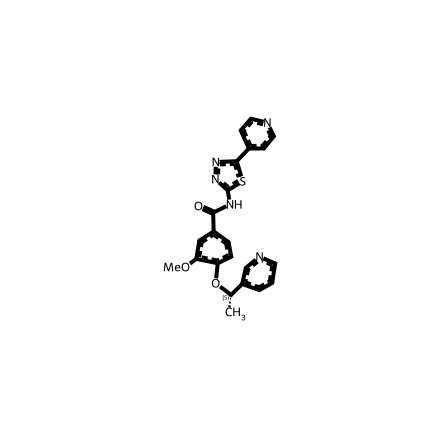 COc1cc(C(=O)Nc2nnc(-c3ccncc3)s2)ccc1O[C@@H](C)c1cccnc1